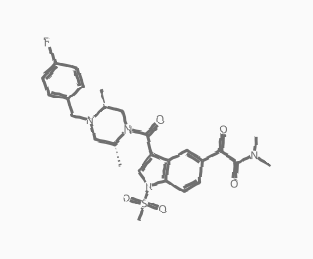 C[C@@H]1CN(Cc2ccc(F)cc2)[C@@H](C)CN1C(=O)c1cn(S(C)(=O)=O)c2ccc(C(=O)C(=O)N(C)C)cc12